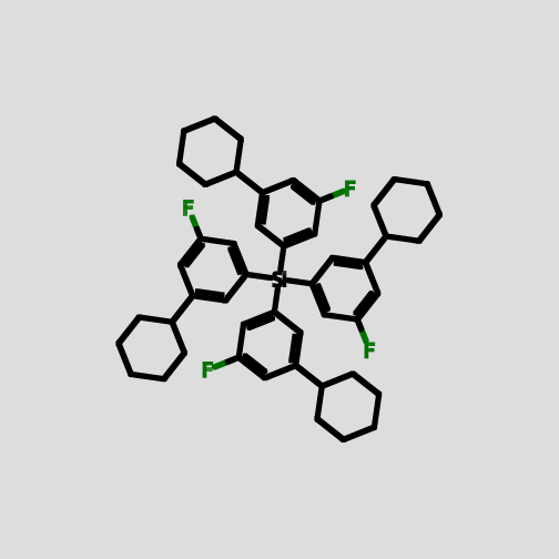 Fc1cc(C2CCCCC2)cc([Si](c2cc(F)cc(C3CCCCC3)c2)(c2cc(F)cc(C3CCCCC3)c2)c2cc(F)cc(C3CCCCC3)c2)c1